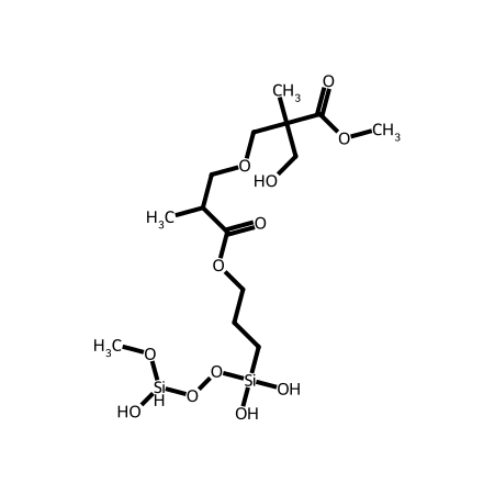 COC(=O)C(C)(CO)COCC(C)C(=O)OCCC[Si](O)(O)OO[SiH](O)OC